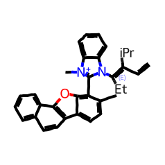 C=C/C(=C(\CC)n1c(-c2c(C)ccc3c2oc2c4ccccc4ccc32)[n+](C)c2ccccc21)C(C)C